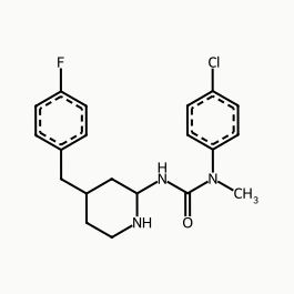 CN(C(=O)NC1CC(Cc2ccc(F)cc2)CCN1)c1ccc(Cl)cc1